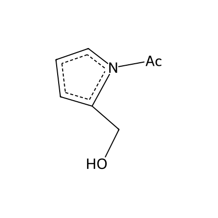 CC(=O)n1cccc1CO